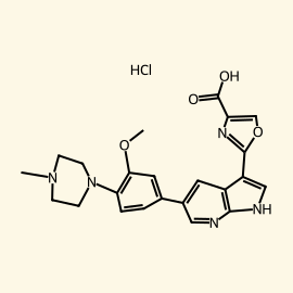 COc1cc(-c2cnc3[nH]cc(-c4nc(C(=O)O)co4)c3c2)ccc1N1CCN(C)CC1.Cl